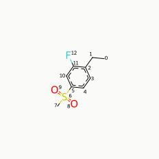 CCc1ccc(S(C)(=O)=O)cc1F